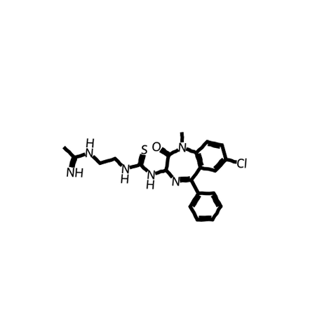 CC(=N)NCCNC(=S)NC1N=C(c2ccccc2)c2cc(Cl)ccc2N(C)C1=O